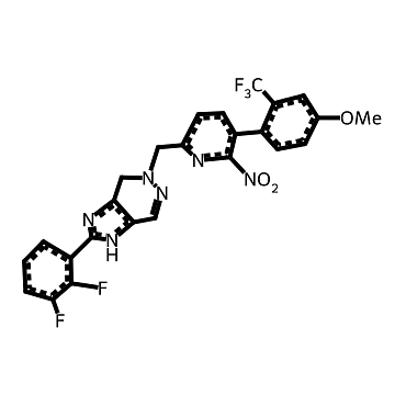 COc1ccc(-c2ccc(CN3Cc4nc(-c5cccc(F)c5F)[nH]c4C=N3)nc2[N+](=O)[O-])c(C(F)(F)F)c1